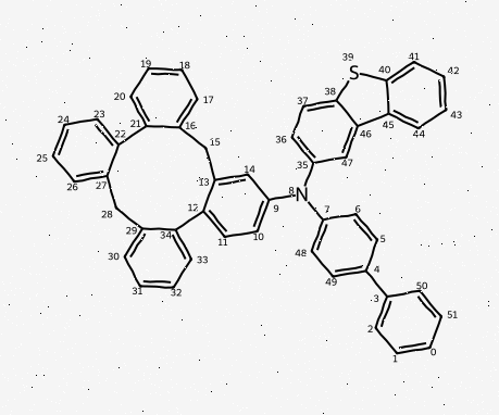 c1ccc(-c2ccc(N(c3ccc4c(c3)Cc3ccccc3-c3ccccc3Cc3ccccc3-4)c3ccc4sc5ccccc5c4c3)cc2)cc1